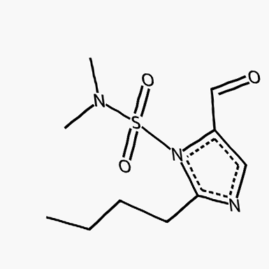 CCCCc1ncc(C=O)n1S(=O)(=O)N(C)C